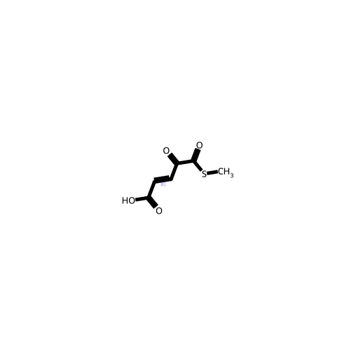 CSC(=O)C(=O)/C=C/C(=O)O